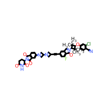 CC1(C)[C@H](Oc2ccc(C#N)c(Cl)c2)C(C)(C)[C@H]1N1Cc2cc(C#CC3CN(C4CN(c5ccc6c(c5)C(=O)N(C5CCC(=O)NC5=O)C6=O)C4)C3)cc(F)c2C1=O